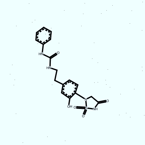 O=C1CN(c2ccc(CCNC(=O)Nc3ccccc3)cc2O)S(=O)(=O)N1